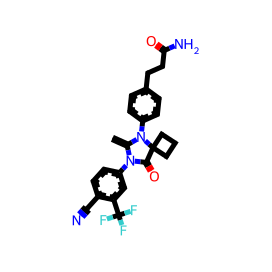 C=C1N(c2ccc(C#N)c(C(F)(F)F)c2)C(=O)C2(CCC2)N1c1ccc(CCC(N)=O)cc1